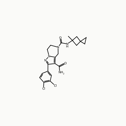 CC1(NC(=O)N2CCn3nc(-c4ccc(Cl)c(Cl)c4)c(C(N)=O)c3C2)CC2(CC2)C1